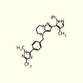 Cc1cnn(C(C)C)c1-c1cc2n(n1)CCCN2Cc1ccc(-c2nc(C(F)(F)F)nn2C)cc1